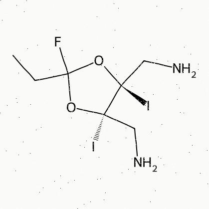 CCC1(F)O[C@](I)(CN)[C@@](I)(CN)O1